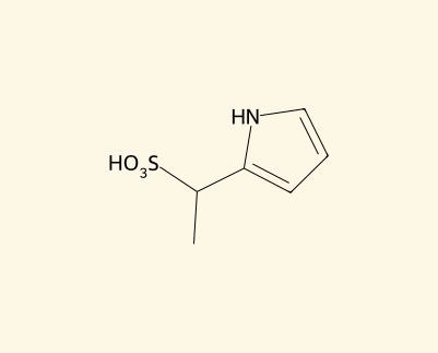 CC(c1ccc[nH]1)S(=O)(=O)O